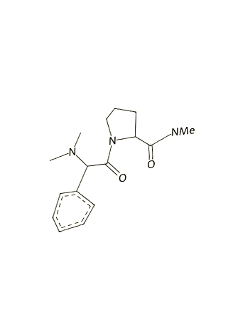 CNC(=O)C1CCCN1C(=O)C(c1ccccc1)N(C)C